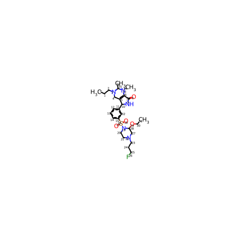 CCCN1CC2=C(C(=O)NC2c2cccc(S(=O)(=O)N3CCN(CCCF)CC3OCC)c2)N(C)C1C